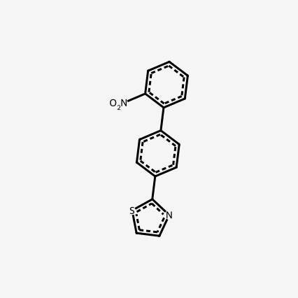 O=[N+]([O-])c1ccccc1-c1ccc(-c2nccs2)cc1